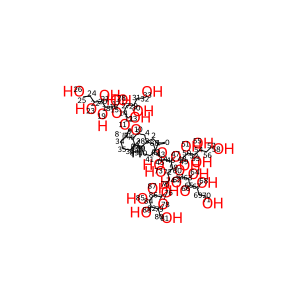 C=C1CC23CCC4[C@](C)(C(=O)OC(O)C(OC(O)C(O)C(O)C(O)CCO)C(O)C(O)CCO)CCC[C@@]4(C)[C@@H]2CC[C@]1(OC(O)C(OC(O)C(O)C(O)C(O)CCO)C(OC(O)C(O)C(O)C(O)CCO)C(O)CCOC1OC(CO)C(O)C(O)C1O)C3